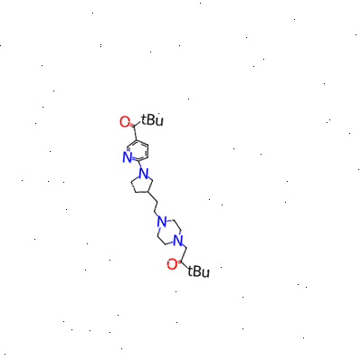 CC(C)(C)C(=O)CN1CCN(CCC2CCN(c3ccc(C(=O)C(C)(C)C)cn3)C2)CC1